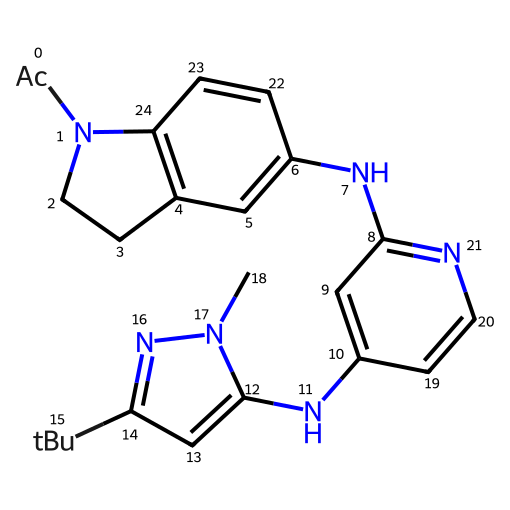 CC(=O)N1CCc2cc(Nc3cc(Nc4cc(C(C)(C)C)nn4C)ccn3)ccc21